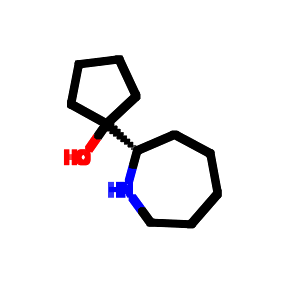 OC1([C@@H]2CCCCCN2)CCCC1